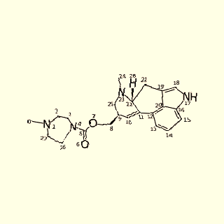 CN1CCN(C(=O)OC[C@@H]2C=C3c4cccc5[nH]cc(c45)C[C@H]3N(C)C2)CC1